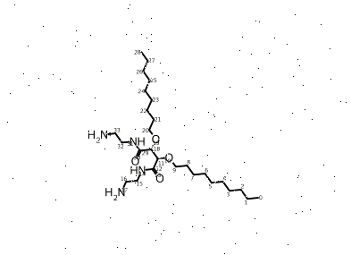 CCCCCCCCCCO[C@@H](C(=O)NCCN)[C@@H](OCCCCCCCCC)C(=O)NCCN